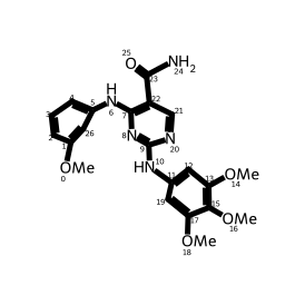 COc1cccc(Nc2nc(Nc3cc(OC)c(OC)c(OC)c3)ncc2C(N)=O)c1